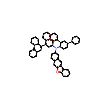 c1ccc(-c2ccc(N(c3ccc4cc5oc6ccccc6c5cc4c3)c3cc(-c4cc5ccccc5c5ccccc45)c4ccccc4c3)c(-c3ccccc3)c2)cc1